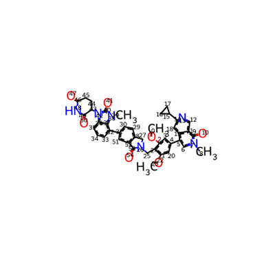 COc1cc(-c2cn(C)c(=O)c3cnc(C4CC4)cc23)cc(OC)c1CN1Cc2ccc(-c3cccc4c3n(C)c(=O)n4C3CCC(=O)NC3=O)cc2C1=O